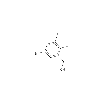 OCc1cc(Br)cc(F)c1F